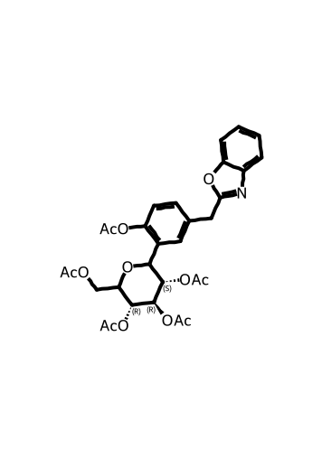 CC(=O)OCC1OC(c2cc(Cc3nc4ccccc4o3)ccc2OC(C)=O)[C@H](OC(C)=O)[C@@H](OC(C)=O)[C@@H]1OC(C)=O